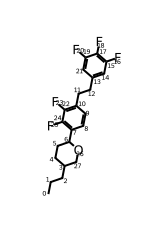 CCCC1CCC(c2ccc(CCc3cc(F)c(F)c(F)c3)c(F)c2F)OC1